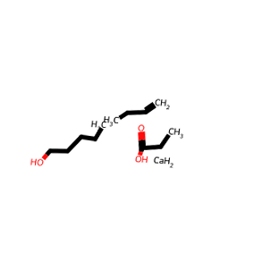 C=CCC.CCC(=O)O.CCCCCO.[CaH2]